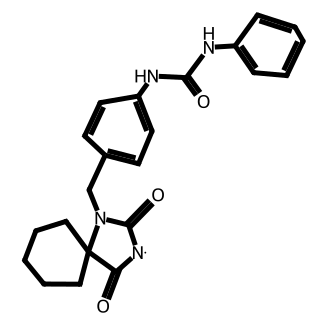 O=C(Nc1ccccc1)Nc1ccc(CN2C(=O)[N]C(=O)C23CCCCC3)cc1